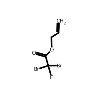 C=CCOC(=O)C(F)(Br)Br